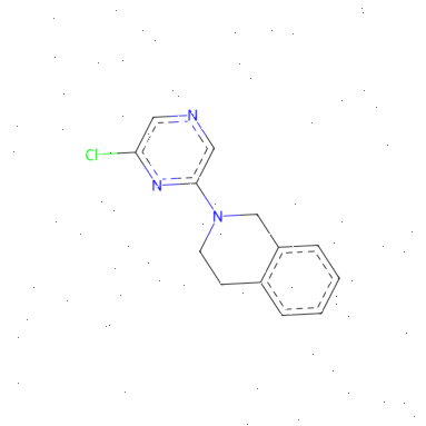 Clc1cncc(N2CCc3ccccc3C2)n1